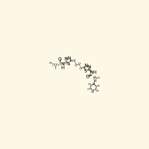 C[C@@H]1C[C@H]1C(=O)Nc1nnc(CCCCc2nnc(NC(=O)[C@@H]3C[C@H]3c3ccccc3)s2)s1